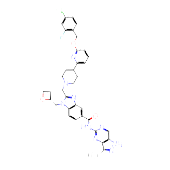 Cc1n[nH]c2cnc(NC(=O)c3ccc4c(c3)nc(CN3CCC(c5cccc(OCc6ccc(Cl)cc6F)n5)CC3)n4C[C@@H]3CCO3)nc12